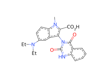 CCN(CC)c1ccc2c(c1)c(-n1c(=O)[nH]c3ccccc3c1=O)c(C(=O)O)n2C